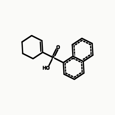 O=P(O)(C1=CCCCC1)c1cccc2ccccc12